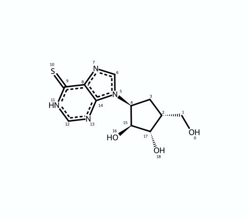 OC[C@H]1C[C@H](n2cnc3c(=S)[nH]cnc32)[C@H](O)[C@H]1O